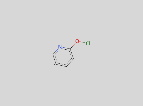 ClOc1cc[c]cn1